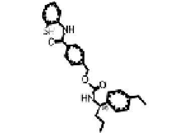 CCC[C@@H](NC(=O)OCc1ccc(C(=O)Nc2ccccc2S)cc1)c1ccc(CC)cc1